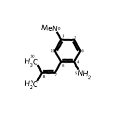 CNc1ccc(N)c(C=C(C)C)c1